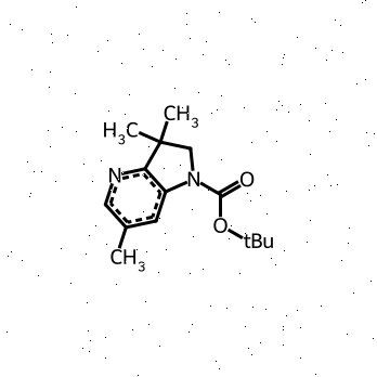 Cc1cnc2c(c1)N(C(=O)OC(C)(C)C)CC2(C)C